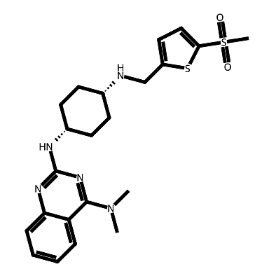 CN(C)c1nc(N[C@H]2CC[C@@H](NCc3ccc(S(C)(=O)=O)s3)CC2)nc2ccccc12